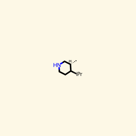 CC(C)C1CCNC[C@@H]1C